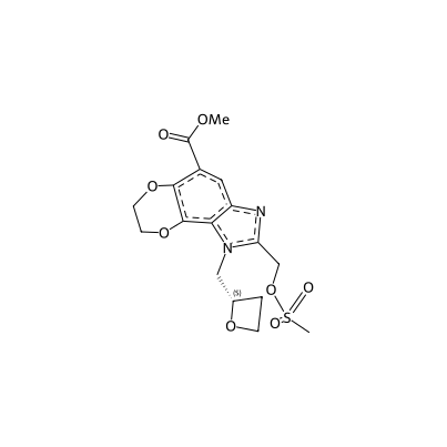 COC(=O)c1cc2nc(COS(C)(=O)=O)n(C[C@@H]3CCO3)c2c2c1OCCO2